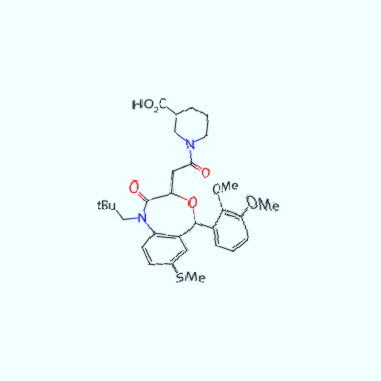 COc1cccc(C2OC(CC(=O)N3CCCC(C(=O)O)C3)C(=O)N(CC(C)(C)C)c3ccc(SC)cc32)c1OC